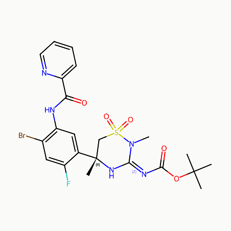 CN1/C(=N\C(=O)OC(C)(C)C)N[C@](C)(c2cc(NC(=O)c3ccccn3)c(Br)cc2F)CS1(=O)=O